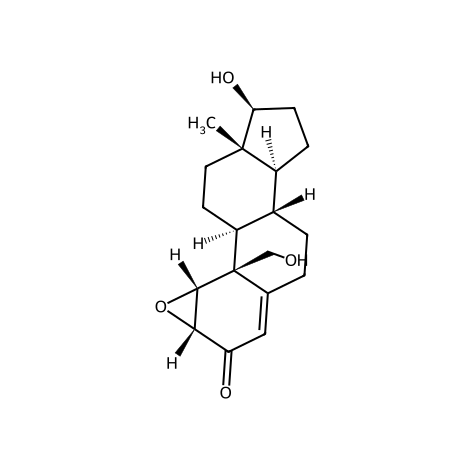 C[C@]12CC[C@H]3[C@@H](CCC4=CC(=O)[C@@H]5O[C@@H]5[C@@]43CO)[C@@H]1CC[C@@H]2O